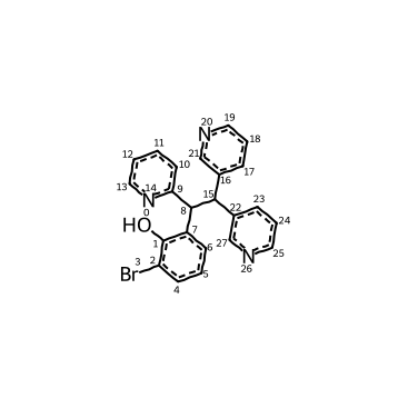 Oc1c(Br)cccc1C(c1ccccn1)C(c1cccnc1)c1cccnc1